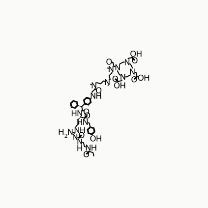 CCC(=O)NCCNC(=O)/N=C(/N)NCCC[C@@H](NC(=O)[C@@H](c1ccccc1)c1ccc(NCC(=O)N(C)CCCN(C)CCCN(C)C(C=O)N2CCN(CC(=O)O)CCN(CC(=O)O)CCN(CC(=O)O)CC2)cc1)C(=O)NCc1ccc(O)cc1